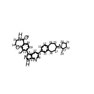 Cc1c(-c2n[nH]c3ncc(-c4ccc5c(c4)CCC(N4CCC[C@H]4C)CC5)cc23)ccc2c1OCCNC2=O